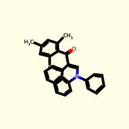 Cc1cc(C)c(C(=O)/C(=C/N(c2ccccc2)c2ccccc2)c2ccccc2)c(C)c1